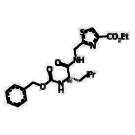 CCOC(=O)c1csc(CNC(=O)[C@H](CC(C)C)NC(=O)OCc2ccccc2)n1